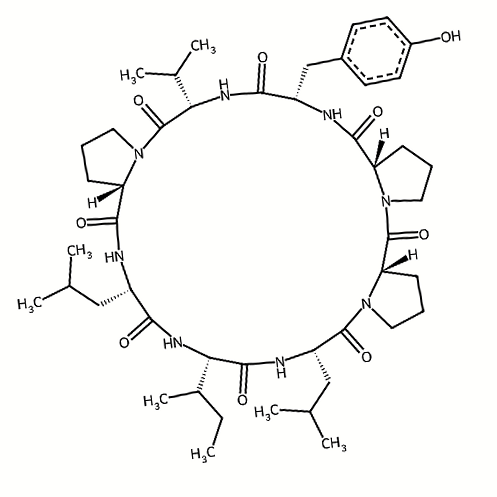 CCC(C)[C@@H]1NC(=O)[C@H](CC(C)C)NC(=O)[C@@H]2CCCN2C(=O)[C@H](C(C)C)NC(=O)[C@H](Cc2ccc(O)cc2)NC(=O)[C@@H]2CCCN2C(=O)[C@@H]2CCCN2C(=O)[C@H](CC(C)C)NC1=O